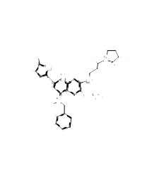 COc1cc2c(N(C)Cc3ccccc3)cc(-c3ccc(C)o3)nc2cc1OCCCN1CCCC1